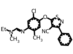 CCN(C)C=Nc1cc(Cl)c(Oc2snc(-c3ccccc3)c2C#N)cc1C